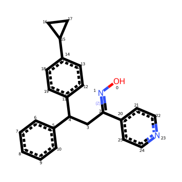 O/N=C(/CC(c1ccccc1)c1ccc(C2CC2)cc1)c1ccncc1